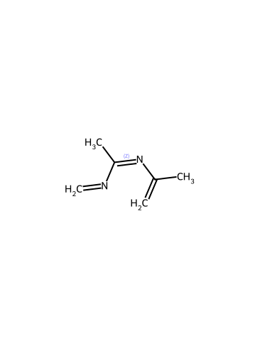 C=N/C(C)=N\C(=C)C